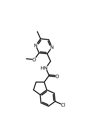 COc1nc(C)cnc1CNC(=O)C1CCc2ccc(Cl)cc21